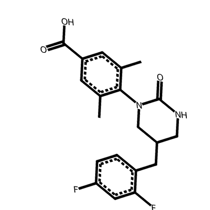 Cc1cc(C(=O)O)cc(C)c1N1CC(Cc2ccc(F)cc2F)CNC1=O